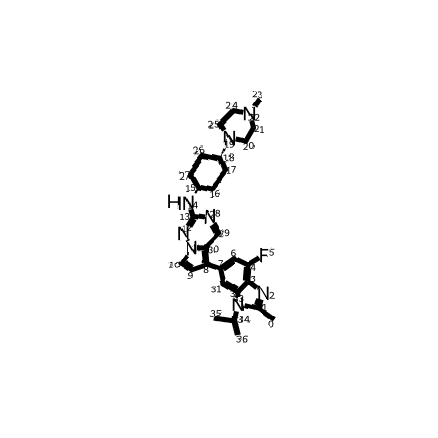 Cc1nc2c(F)cc(-c3ccn4nc(N[C@H]5CC[C@@H](N6CCN(C)CC6)CC5)ncc34)cc2n1C(C)C